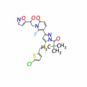 CC(C)(C)C(=O)n1nc(-c2ccc(=O)n(CC(=O)c3ccno3)c2F)cc1SCc1ccc(Cl)s1